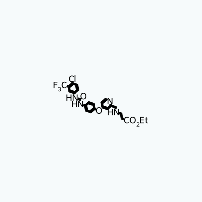 CCOC(=O)CCNCc1cc(Oc2ccc(NC(=O)Nc3ccc(Cl)c(C(F)(F)F)c3)cc2)ccn1